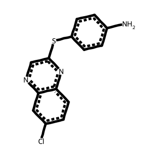 Nc1ccc(Sc2cnc3cc(Cl)ccc3n2)cc1